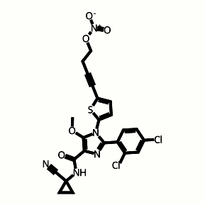 COc1c(C(=O)NC2(C#N)CC2)nc(-c2ccc(Cl)cc2Cl)n1-c1ccc(C#CCCO[N+](=O)[O-])s1